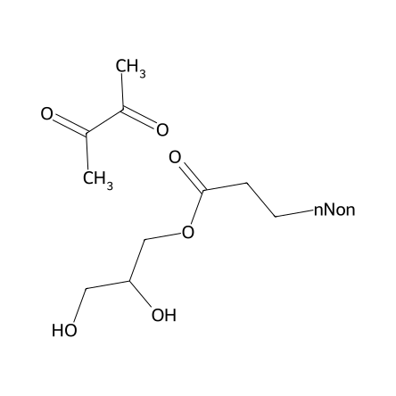 CC(=O)C(C)=O.CCCCCCCCCCCC(=O)OCC(O)CO